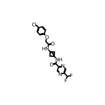 O=C(COc1ccc(Cl)cc1)NC12CC(NC(=O)c3cnc(C(F)F)cn3)(C1)C2